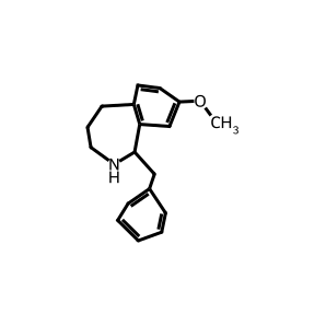 COc1ccc2c(c1)C(Cc1ccccc1)NCCC2